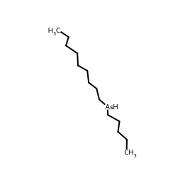 CCCCCCCCC[AsH]CCCCC